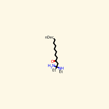 CCCCCCCCCCCCCCCCCC(=O)CC(N)(CC)NCC